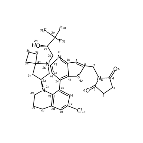 O=C1CCC(=O)N1Cc1cc2nccc(-c3cc(Cl)cc4c3N([C@@H]3CN(C[C@@H](O)C(F)(F)F)C5(CCC5)C3)CCC4)c2s1